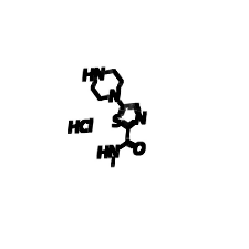 CNC(=O)c1ncc(N2CCNCC2)s1.Cl